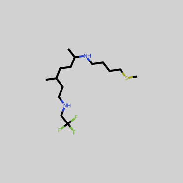 CSCCCCNC(C)CCC(C)CCNCC(F)(F)F